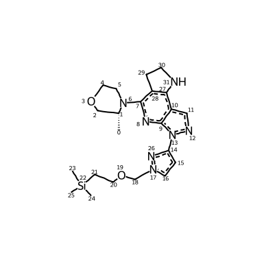 C[C@@H]1COCCN1c1nc2c(cnn2-c2ccn(COCC[Si](C)(C)C)n2)c2c1CCN2